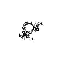 C=C[C@@H]1C[C@]1(NC(=O)[C@@H]1C[C@@H]2CN1C(=O)[C@H](C1CCCC1)NC(=O)O[C@@H]1CCC[C@H]1CC/C=C/Cc1c(nc3ccccc3c1OC(=O)C(C)C)O2)C(=O)NS(=O)(=O)C1CC1